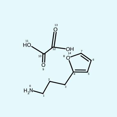 NCCCc1ccco1.O=C(O)C(=O)O